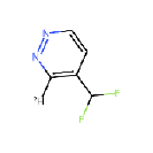 [2H]c1nnccc1C(F)F